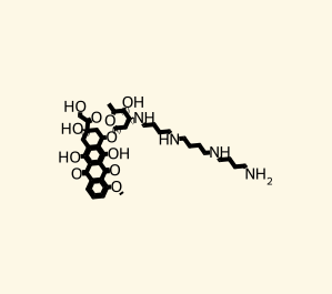 COc1cccc2c1C(=O)c1c(O)c3c(c(O)c1C2=O)C[C@@](O)(C(=O)CO)CC3O[C@H]1C[C@@H](NCCCCNCCCCNCCCCN)[C@H](O)C(C)O1